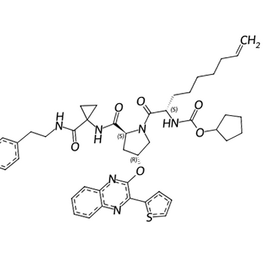 C=CCCCCC[C@H](NC(=O)OC1CCCC1)C(=O)N1C[C@H](Oc2nc3ccccc3nc2-c2cccs2)C[C@H]1C(=O)NC1(C(=O)NCCc2ccccc2)CC1